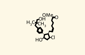 COC(=O)CCC/C=C\C[C@@H]1[C@@H](c2ccc(CC(C)(C)CO)cc2)[C@H](O)C[C@@H]1Cl